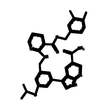 Cc1ccc(COC(=O)c2cccnc2NCc2cc(OC(C)C)cc(-c3c[nH]c4ncc(C(N)=O)cc34)c2)cc1C